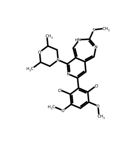 COc1cc(OC)c(Cl)c(-c2cc3c(c(N4CC(C)OC(C)C4)n2)=CNC(SC)=NC=3)c1Cl